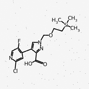 C[Si](C)(C)CCOCn1cc(-c2cc(Cl)ncc2F)c(C(=O)O)n1